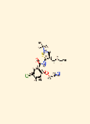 CCCCc1cn(C(C)(C)C)sc1=NC(=O)c1cc(Cl)ccc1OCC#N